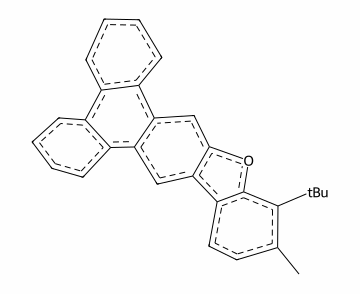 Cc1ccc2c(oc3cc4c5ccccc5c5ccccc5c4cc32)c1C(C)(C)C